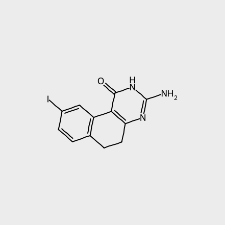 Nc1nc2c(c(=O)[nH]1)-c1cc(I)ccc1CC2